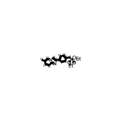 CCOP(=O)(Cc1ccc(-c2cn3cc(C)ccc3n2)cc1)OCC